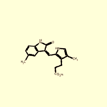 Cc1ccc2c(c1)C(=Cc1[nH]cc(C)c1CCC(=O)O)C(=O)N2